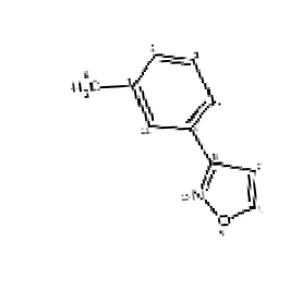 [CH2]c1cccc(-c2ccon2)c1